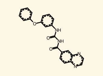 O=C(NC(=O)c1ccc2nccnc2c1)Nc1cccc(Oc2ccccc2)c1